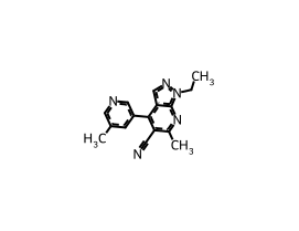 CCn1ncc2c(-c3cncc(C)c3)c(C#N)c(C)nc21